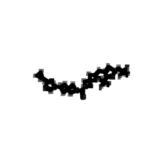 O=C(N1CC2(CC(Cc3cn(CC(F)(F)F)nc3C(F)(F)F)C2)C1)N1CC2(CC(n3cnc(C4CC4)n3)C2)C1